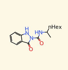 CCCCCCC(C)NC(=O)n1[nH]c2ccccc2c1=O